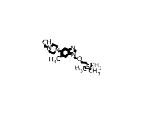 CCN1CCN(c2cc3ncn(COCC[Si](C)(C)C)c3cc2C)CC1